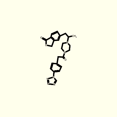 CC(Cc1ccc2c(c1)COC2=O)N1CCN(C(=O)Cc2ccc(-n3cnnn3)cc2)CC1